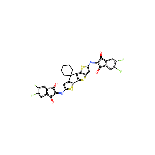 O=c1c(=Nc2cc3c(s2)-c2sc4cc(N=c5c(=O)c6cc(F)c(F)cc6c5=O)sc4c2C32CCCCC2)c(=O)c2cc(F)c(F)cc12